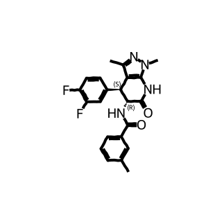 Cc1cccc(C(=O)N[C@H]2C(=O)Nc3c(c(C)nn3C)[C@@H]2c2ccc(F)c(F)c2)c1